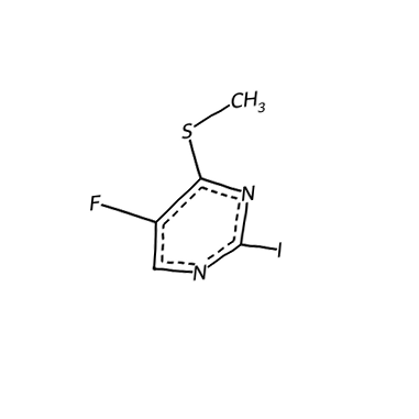 CSc1nc(I)ncc1F